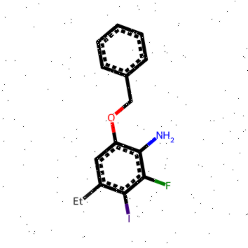 CCc1cc(OCc2ccccc2)c(N)c(F)c1I